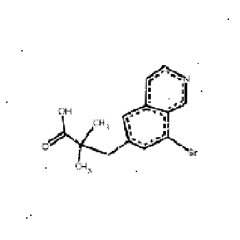 CC(C)(Cc1cc(Br)c2cnccc2c1)C(=O)O